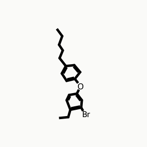 CCCCCc1ccc(Oc2ccc(CC)c(Br)c2)cc1